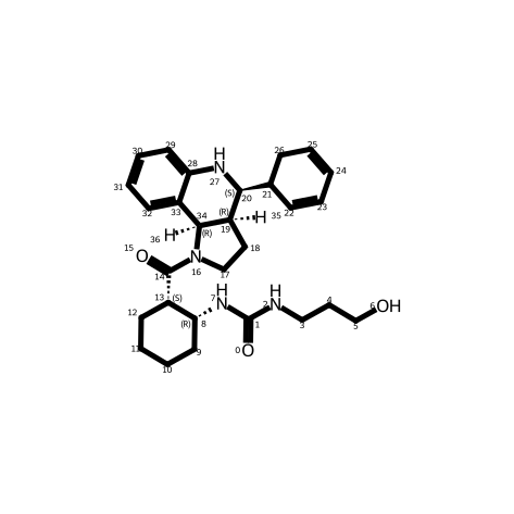 O=C(NCCCO)N[C@@H]1CCCC[C@@H]1C(=O)N1CC[C@@H]2[C@H](C3C=CC=CC3)Nc3ccccc3[C@@H]21